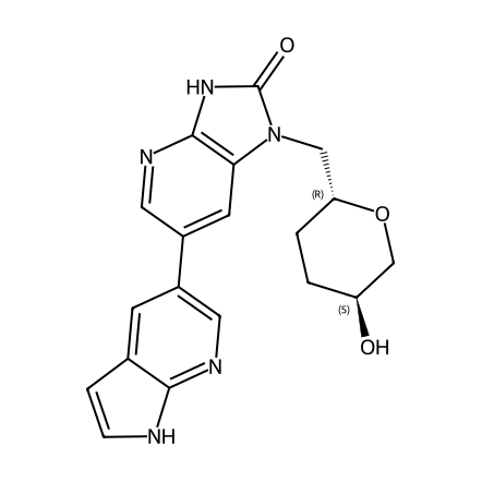 O=c1[nH]c2ncc(-c3cnc4[nH]ccc4c3)cc2n1C[C@H]1CC[C@H](O)CO1